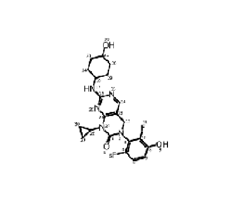 O=C1N(c2c(F)ccc(O)c2F)Cc2cnc(NC3CCC(O)CC3)nc2N1C1CC1